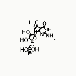 Cc1cn([C@@H]2O[C@H](OCP(=O)(O)O)C(O)[C@@H]2O)c2nc(N)[nH]c(=O)c12